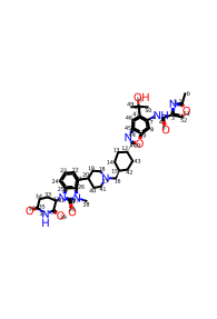 Cc1nc(C(=O)Nc2cc3oc([C@H]4CC[C@H](CN5CCC(c6cccc7c6n(C)c(=O)n7C6CCC(=O)NC6=O)CC5)CC4)nc3cc2C(C)(C)O)co1